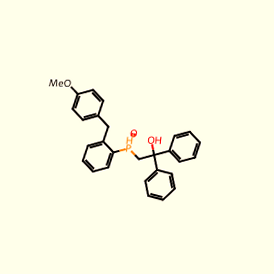 COc1ccc(Cc2ccccc2[PH](=O)CC(O)(c2ccccc2)c2ccccc2)cc1